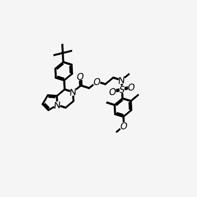 COc1cc(C)c(S(=O)(=O)N(C)CCOCC(=O)N2CCn3cccc3C2c2ccc(C(C)(C)C)cc2)c(C)c1